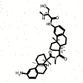 CN[C@@H](CO)C(=O)Nc1ccc2c(c1)[C@@]1(C)CCC[C@](C)(C(=O)N(C)C(=O)[C@@]3(C)CCC[C@]4(C)c5cc(N)ccc5CC[C@@H]34)[C@]1(C)CC2